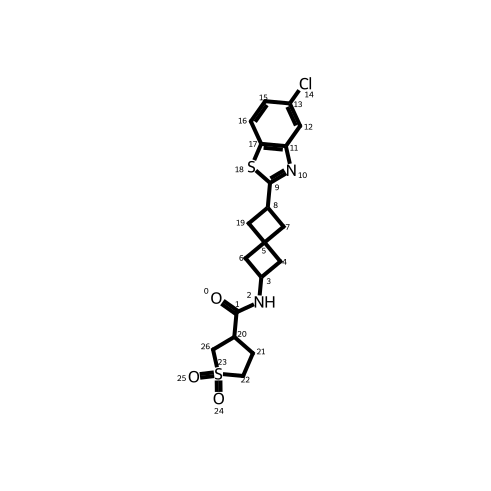 O=C(NC1CC2(C1)CC(c1nc3cc(Cl)ccc3s1)C2)C1CCS(=O)(=O)C1